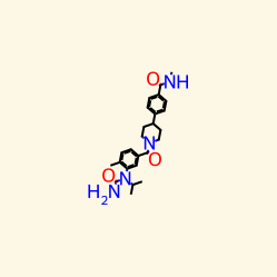 CNC(=O)c1ccc(C2CCN(C(=O)c3ccc(C)c(N(C(N)=O)C(C)C)c3)CC2)cc1